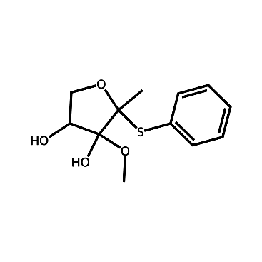 COC1(O)C(O)COC1(C)Sc1ccccc1